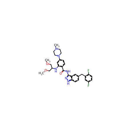 COCC(COC)Nc1cc(N2CCN(C)CC2)ccc1C(=O)Nc1n[nH]c2ccc(Cc3cc(F)ccc3F)cc12